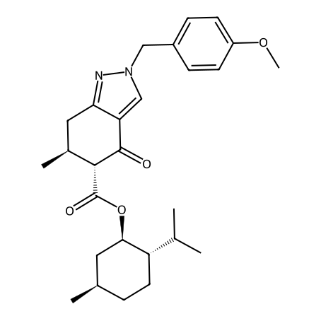 COc1ccc(Cn2cc3c(n2)C[C@H](C)[C@@H](C(=O)O[C@@H]2C[C@H](C)CC[C@H]2C(C)C)C3=O)cc1